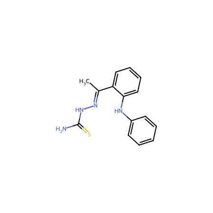 CC(=NNC(N)=S)c1ccccc1Nc1ccccc1